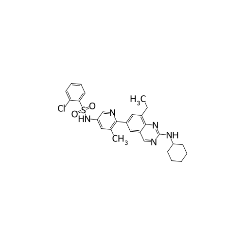 CCc1cc(-c2ncc(NS(=O)(=O)c3ccccc3Cl)cc2C)cc2cnc(NC3CCCCC3)nc12